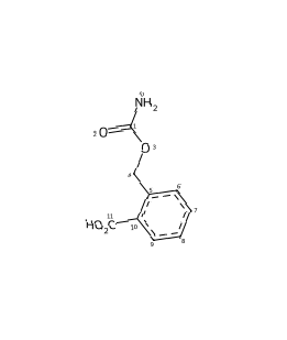 NC(=O)OCc1ccccc1C(=O)O